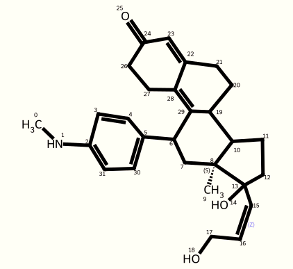 CNc1ccc(C2C[C@@]3(C)C(CCC3(O)/C=C\CO)C3CCC4=CC(=O)CCC4=C23)cc1